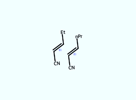 CC/C=C/C#N.CCC/C=C/C#N